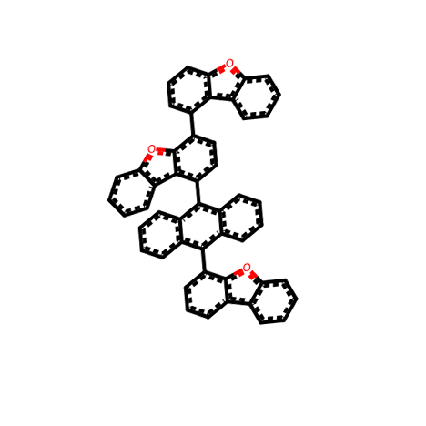 c1ccc2c(c1)oc1c(-c3c4ccccc4c(-c4ccc(-c5cccc6oc7ccccc7c56)c5oc6ccccc6c45)c4ccccc34)cccc12